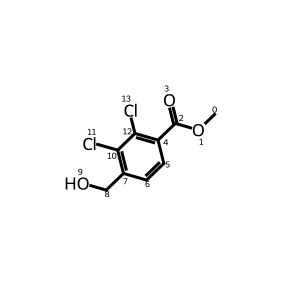 COC(=O)c1ccc(CO)c(Cl)c1Cl